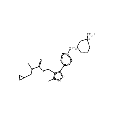 Cc1noc(-c2ccc(O[C@H]3CCC[C@H](C(=O)O)C3)cn2)c1COC(=O)N(C)CC1CC1